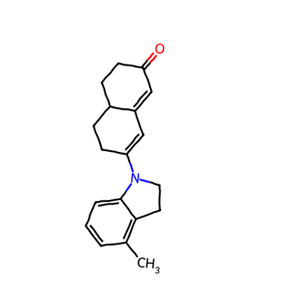 Cc1cccc2c1CCN2C1=CC2=CC(=O)CCC2CC1